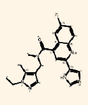 CCn1ncc(CN(C)C(=O)c2cc(-c3cnc[nH]3)nc3ccc(Cl)cc23)c1C